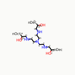 CCCCCCCCCCC(O)CNCCN(CCNCC(O)CCCCCCCC)CCNCC(O)CCCCCCCCCC